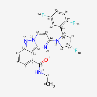 CCNC(=O)c1cccc2nn3ccc(N4C[C@@H](F)C[C@@H]4c4cc(F)ccc4F)nc3c12